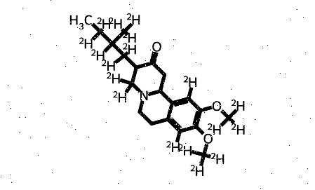 [2H]c1c2c(c([2H])c(OC([2H])([2H])[2H])c1OC([2H])([2H])[2H])C1CC(=O)C(C([2H])([2H])C([2H])(C([2H])([2H])[2H])C([2H])([2H])C)C([2H])([2H])N1CC2